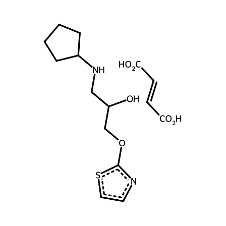 O=C(O)C=CC(=O)O.OC(CNC1CCCC1)COc1nccs1